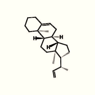 C=C[C@@H](C)[C@H]1CC[C@H]2[C@@H]3CC=C4CCCC[C@]4(C)[C@H]3CC[C@]12C